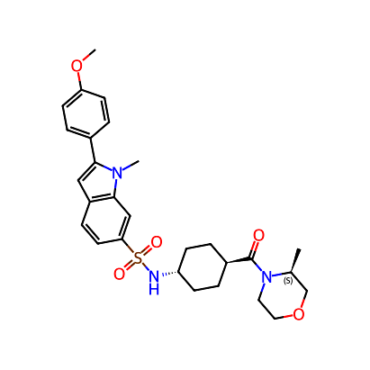 COc1ccc(-c2cc3ccc(S(=O)(=O)N[C@H]4CC[C@H](C(=O)N5CCOC[C@@H]5C)CC4)cc3n2C)cc1